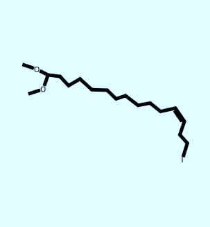 COC(CCCCCCCCCC/C=C\CCI)OC